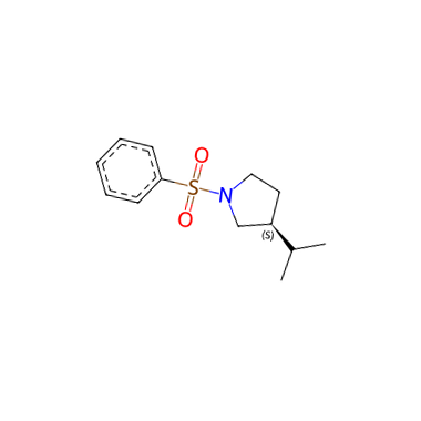 CC(C)[C@@H]1CCN(S(=O)(=O)c2ccccc2)C1